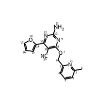 Cc1cccc(COc2nc(N)nc(-c3ccco3)c2C#N)n1